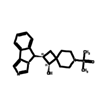 CP(C)(=O)N1CCC2(CC1)C[C@@H](C1c3ccccc3-c3cncn31)[C@H]2O